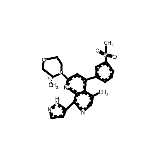 Cc1cnc(-c2ccn[nH]2)c2nc(N3CCOC[C@H]3C)cc(-c3cccc(S(C)(=O)=O)c3)c12